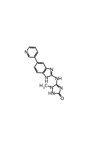 Cn1[nH]c(=O)nc1Nc1nc2cc(-c3cccnc3)ccc2[nH]1